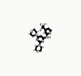 FC(F)(F)c1ccnc(Nc2cc(N3CCOCC3)nc(N3CCOCC3)n2)c1